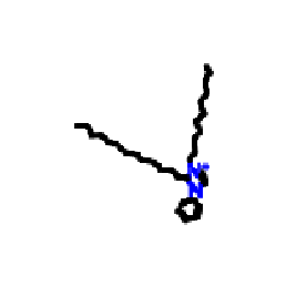 CCCCCCCCCCCCCc1n(-c2ccccc2)cc[n+]1CCCCCCCCCCC